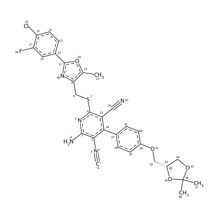 [C-]#[N+]c1c(N)nc(SCc2nc(-c3ccc(Cl)c(F)c3)oc2C)c(C#N)c1-c1ccc(OC[C@@H]2COC(C)(C)O2)cc1